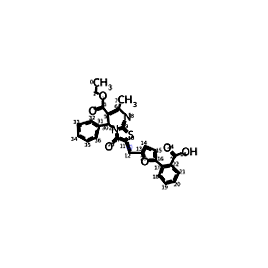 CCOC(=O)C1=C(C)N=c2s/c(=C\c3ccc(-c4ccccc4C(=O)O)o3)c(=O)n2C1c1ccccc1